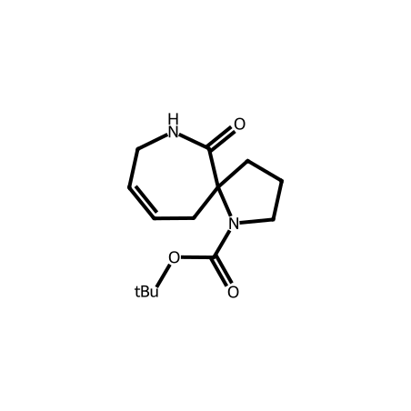 CC(C)(C)OC(=O)N1CCCC12CC=CCNC2=O